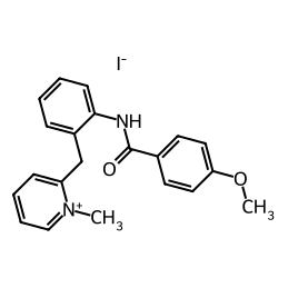 COc1ccc(C(=O)Nc2ccccc2Cc2cccc[n+]2C)cc1.[I-]